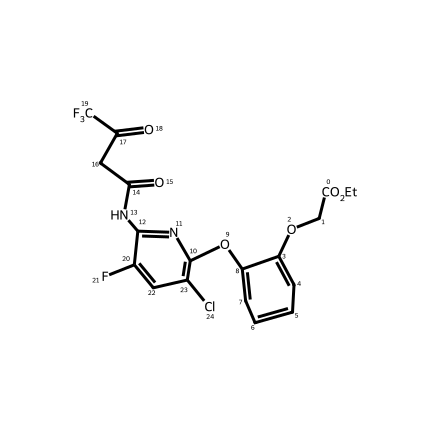 CCOC(=O)COc1ccccc1Oc1nc(NC(=O)CC(=O)C(F)(F)F)c(F)cc1Cl